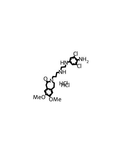 COc1cc2c(cc1OC)CC(=O)N(CCCNCCNc1cc(Cl)c(N)c(Cl)c1)CC2.Cl.Cl